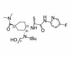 CN(C)C(=O)[C@H]1CC[C@H](NC(=S)C(=O)Nc2ccc(F)cn2)[C@H](N(C(=O)O)C(C)(C)C)C1